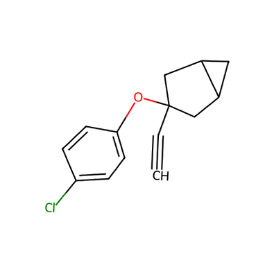 C#CC1(Oc2ccc(Cl)cc2)CC2CC2C1